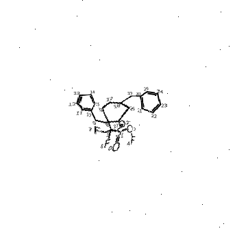 O=S(=O)(OF)C(F)(F)C1(Cc2ccccc2)CCC(Cc2ccccc2)CC1